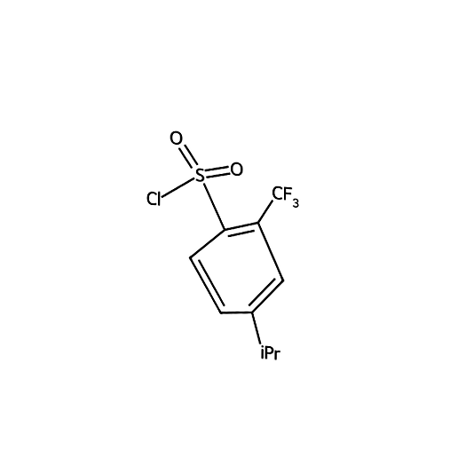 CC(C)c1ccc(S(=O)(=O)Cl)c(C(F)(F)F)c1